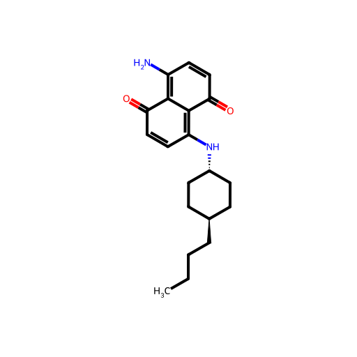 CCCC[C@H]1CC[C@H](NC2=C3C(=O)C=CC(N)=C3C(=O)C=C2)CC1